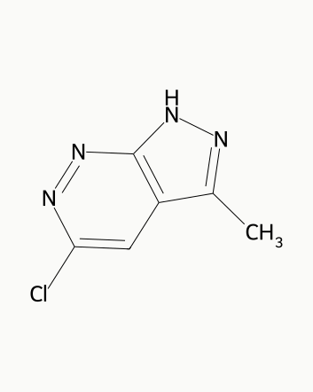 Cc1n[nH]c2nnc(Cl)cc12